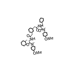 COc1ccc(N(C)C(=O)[C@H](Cc2ccccc2)NC(=O)Cc2cccc(CC(=O)N[C@@H](Cc3ccccc3)C(=O)N(C)c3ccc(OC)cc3)c2)cc1